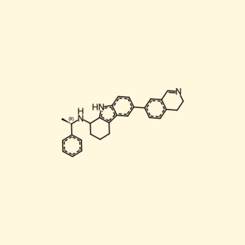 C[C@@H](NC1CCCc2c1[nH]c1ccc(-c3ccc4c(c3)C=NCC4)cc21)c1ccccc1